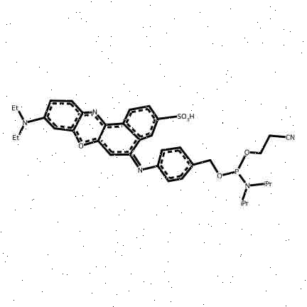 CCN(CC)c1ccc2nc3c4ccc(S(=O)(=O)O)cc4/c(=N\c4ccc(COP(OCCC#N)N(C(C)C)C(C)C)cc4)cc-3oc2c1